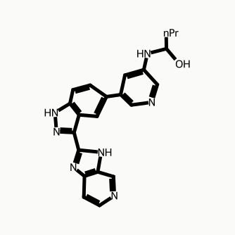 CCCC(O)Nc1cncc(-c2ccc3[nH]nc(-c4nc5ccncc5[nH]4)c3c2)c1